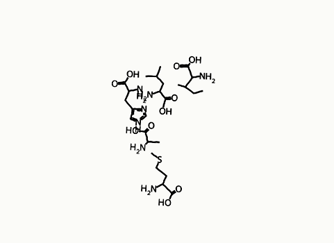 CC(C)CC(N)C(=O)O.CC(N)C(=O)O.CCC(C)C(N)C(=O)O.CSCCC(N)C(=O)O.NC(Cc1c[nH]cn1)C(=O)O